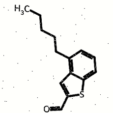 CCCCCc1cccc2sc(C=O)cc12